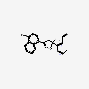 C=C/C=C(/C=C\C)C1(C(F)(F)F)CC(c2ccc(Br)c3ccccc23)=NO1